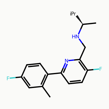 Cc1cc(F)ccc1-c1ccc(F)c(CN[C@H](C)C(C)C)n1